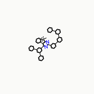 C[Si]1(C)c2ccccc2-c2c(-c3cc(-c4ccccc4)cc(-c4ccccc4)c3)nc(-c3cccc(-c4cccc(-c5cccc(-c6ccccc6)c5)c4)c3)nc21